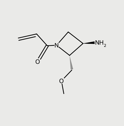 C=CC(=O)N1C[C@@H](N)[C@@H]1COC